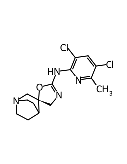 Cc1nc(NC2=NC[C@@]3(CN4CCC3CC4)O2)c(Cl)cc1Cl